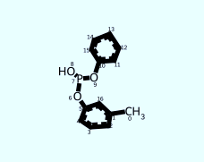 Cc1cccc(OP(O)Oc2ccccc2)c1